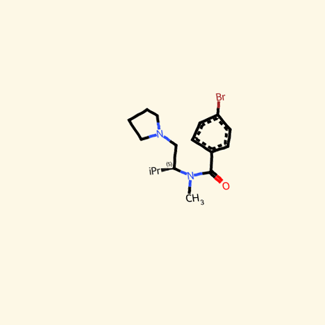 CC(C)[C@@H](CN1CCCC1)N(C)C(=O)c1ccc(Br)cc1